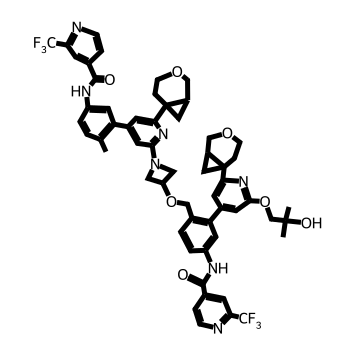 Cc1ccc(NC(=O)c2ccnc(C(F)(F)F)c2)cc1-c1cc(N2CC(OCc3ccc(NC(=O)c4ccnc(C(F)(F)F)c4)cc3-c3cc(OCC(C)(C)O)nc(C45CCOCC4C5)c3)C2)nc(C23CCOCC2C3)c1